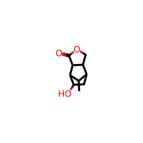 CC1C2CC(O)C1C1C(=O)OCC21